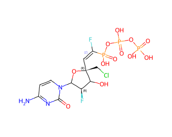 Nc1ccn(C2O[C@@](/C=C(/F)P(=O)(O)OP(=O)(O)OP(=O)(O)O)(CCl)C(O)[C@H]2F)c(=O)n1